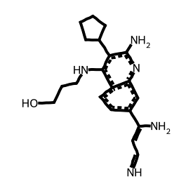 N=C/C=C(\N)c1ccc2c(NCCCO)c(C3CCCC3)c(N)nc2c1